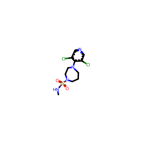 CNS(=O)(=O)N1CCCN(c2c(Cl)cncc2Cl)CC1